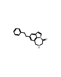 O=C1CNCc2cc(CCc3ccccc3)cc3ccn1c23